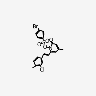 Cc1cc(C=Cc2ccc(C)c(Cl)c2)n(OS(=O)(=O)c2ccc(Br)cc2)c(=O)c1